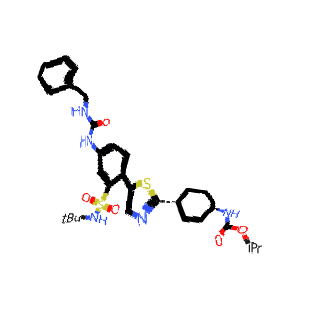 CC(C)OC(=O)N[C@H]1CC[C@H](c2ncc(C3=CC=C(NC(=O)NCc4ccccc4)CC3S(=O)(=O)NC(C)(C)C)s2)CC1